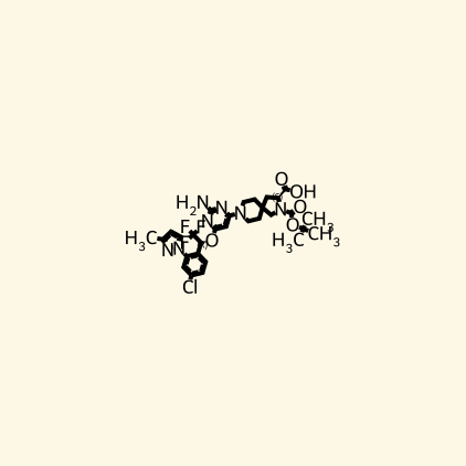 Cc1ccn(-c2cc(Cl)ccc2[C@@H](Oc2cc(N3CCC4(CC3)C[C@@H](C(=O)O)N(C(=O)OC(C)(C)C)C4)nc(N)n2)C(F)(F)F)n1